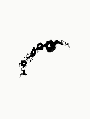 CCCc1ccc(-c2ccc(-c3ccc(C(F)(F)Oc4cc(F)c(OC=C(F)F)c(F)c4)c(F)c3)c(F)c2)cc1